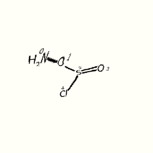 NOS(=O)Cl